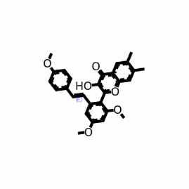 COc1ccc(/C=C/c2cc(OC)cc(OC)c2-c2oc3cc(C)c(C)cc3c(=O)c2O)cc1